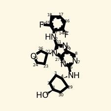 O[C@H]1CC[C@H](Nc2ncc3nc(Nc4c(F)cccc4F)n([C@@H]4CCOC4)c3n2)CC1